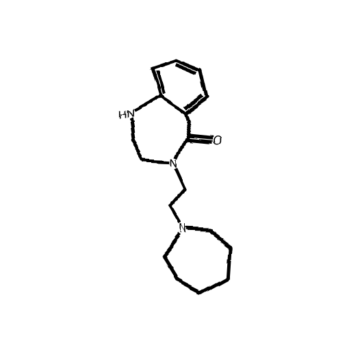 O=C1c2ccccc2NCCN1CCN1CCCCCC1